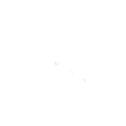 c1ccc2c(c1)-c1cccc3c(-n4c5ccccc5c5c6oc7ccccc7c6c6nc7ccccc7n6c54)ccc-2c13